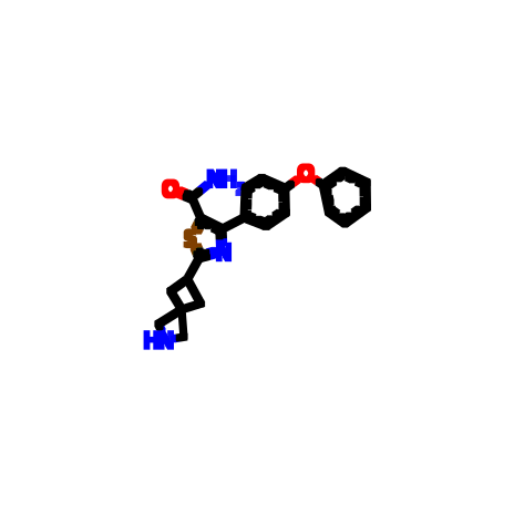 NC(=O)c1sc(C2CC3(CNC3)C2)nc1-c1ccc(Oc2ccccc2)cc1